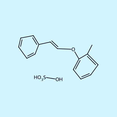 Cc1ccccc1OC=Cc1ccccc1.O=S(=O)(O)O